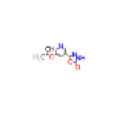 CC(C)Oc1cncc(-c2n[nH]c(=O)o2)c1